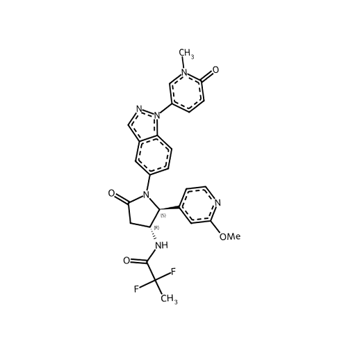 COc1cc([C@H]2[C@H](NC(=O)C(C)(F)F)CC(=O)N2c2ccc3c(cnn3-c3ccc(=O)n(C)c3)c2)ccn1